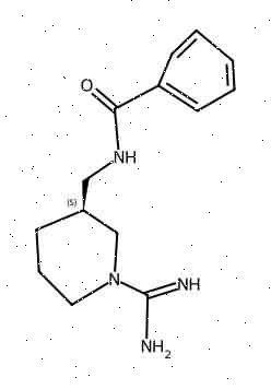 N=C(N)N1CCC[C@@H](CNC(=O)c2ccccc2)C1